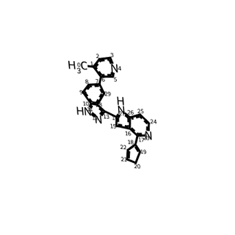 Cc1ccncc1-c1ccc2[nH]nc(-c3cc4c(C5=CCC=C5)nccc4[nH]3)c2c1